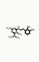 CC1N=C(NCCc2cccc(O)c2O)N(C)C(N(C)C)=N1